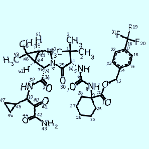 CC(C)(C)[C@H](NC(=O)NC1(C(=O)OCc2ccc(C(F)(F)F)cc2)CCCCC1)C(=O)N1C[C@H]2[C@@H]([C@H]1C(=O)NC(C(=O)C(N)=O)C1CC1)C2(C)C